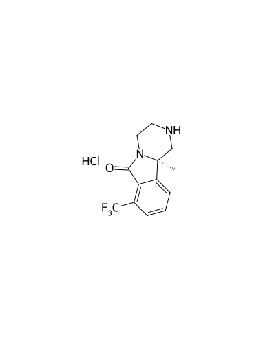 C[C@@]12CNCCN1C(=O)c1c(C(F)(F)F)cccc12.Cl